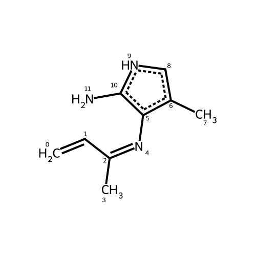 C=C/C(C)=N\c1c(C)c[nH]c1N